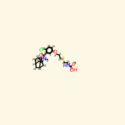 CN(C(=O)c1cc(OCCCSCCNC(=O)O)ccc1Cl)C12CC3CC(CC(C3)C1)C2